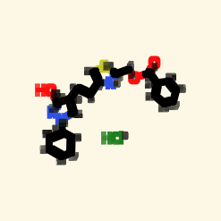 Cl.O=C(OCc1nc(C=Cc2cn(-c3ccccc3)nc2O)cs1)c1ccccc1